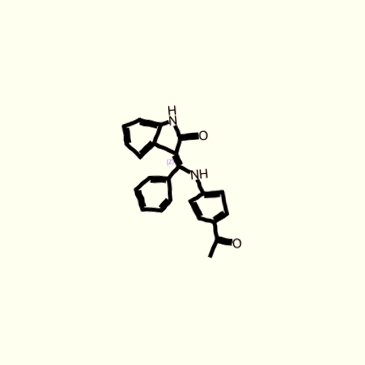 CC(=O)c1ccc(N/C(=C2\C(=O)Nc3ccccc32)c2ccccc2)cc1